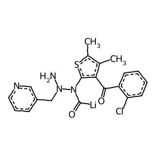 [Li][C](=O)N(c1sc(C)c(C)c1C(=O)c1ccccc1Cl)N(N)Cc1cccnc1